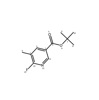 Cc1cc(C(=O)OC(C)(C)C)cnc1F